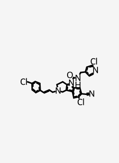 N#Cc1cc2c(cc1Cl)c1c(n2C(=O)NCc2ccnc(Cl)c2)CCN(C/C=C/c2ccc(Cl)cc2)C1